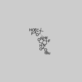 CC(C)(C)OC(=O)N1CC(F)(F)[C@@H]2[C@H]1CON2C[C@H](OC(F)F)C(C)(C)C(=O)O